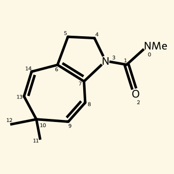 CNC(=O)N1CCC2=C1C=CC(C)(C)C=C2